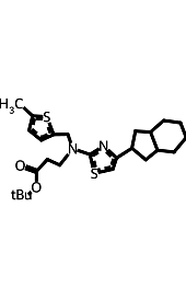 Cc1ccc(CN(CCC(=O)OC(C)(C)C)c2nc(C3CC4CCCCC4C3)cs2)s1